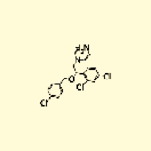 C=CN(/C=C\N)CC(OCc1ccc(Cl)cc1)c1ccc(Cl)cc1Cl